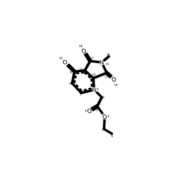 CCOC(=O)Cn1ccc(=O)c2c1C(=O)N(C)C2=O